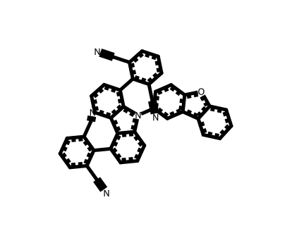 N#Cc1cccc(C#N)c1-c1cccc2c1c1cccc(-c3c(C#N)cccc3C#N)c1n2-c1ccc2oc3ccccc3c2c1